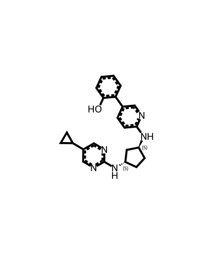 Oc1ccccc1-c1ccc(N[C@H]2CC[C@H](Nc3ncc(C4CC4)cn3)C2)nc1